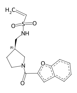 C=CS(=O)(=O)NC[C@@H]1CCN(C(=O)c2cc3ccccc3o2)C1